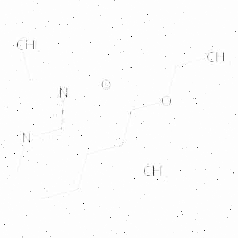 C=C(C(=O)OCC)c1cccn2cc(C)nc12